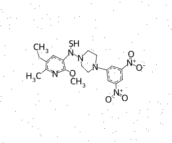 CCc1cc(N(S)N2CCN(c3cc([N+](=O)[O-])cc([N+](=O)[O-])c3)CC2)c(OC)nc1C